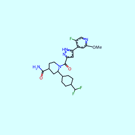 COc1cc(-c2cc(C(=O)N3CCC(C(N)=O)CC3C3CCC(C(F)F)CC3)n[nH]2)c(F)cn1